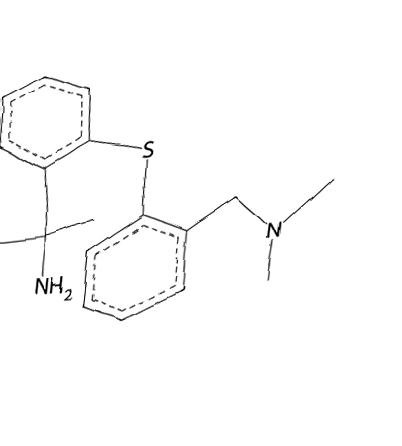 CN(C)Cc1ccccc1Sc1ccccc1C(C)(C)N